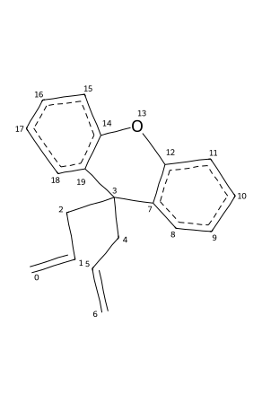 C=CCC1(CC=C)c2ccccc2Oc2ccccc21